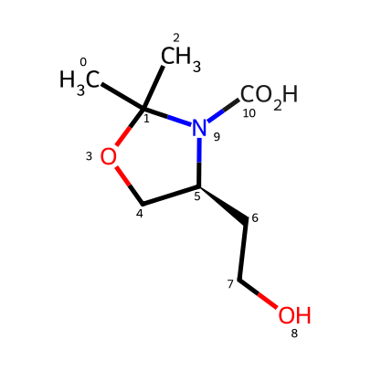 CC1(C)OC[C@H](CCO)N1C(=O)O